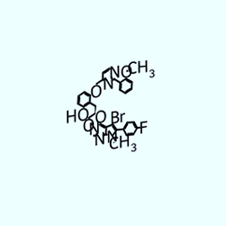 COc1ccccc1-c1nccc(COc2ccccc2C[C@@H](Oc2ncnc3c2c(Br)c(-c2ccc(F)cc2)n3C)C(=O)O)n1